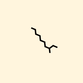 CCCCC[CH]CC(C)CC